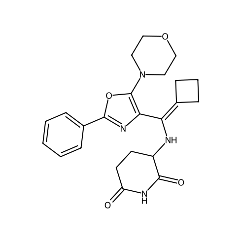 O=C1CCC(NC(=C2CCC2)c2nc(-c3ccccc3)oc2N2CCOCC2)C(=O)N1